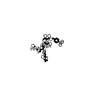 COC1=C(C(=O)OCc2ccc([N+](=O)[O-])cc2)N2C(=O)C(NC(=O)C(=NOCC(=O)OC(C)(C)C)c3csc(NC=O)n3)[C@@H]2SC1